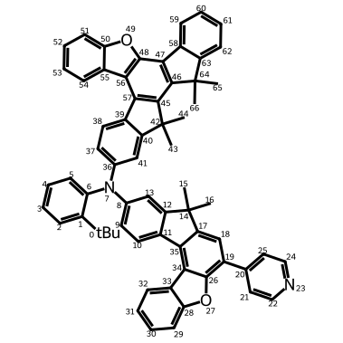 CC(C)(C)c1ccccc1N(c1ccc2c(c1)C(C)(C)c1cc(-c3ccncc3)c3oc4ccccc4c3c1-2)c1ccc2c(c1)C(C)(C)c1c3c(c4oc5ccccc5c4c1-2)-c1ccccc1C3(C)C